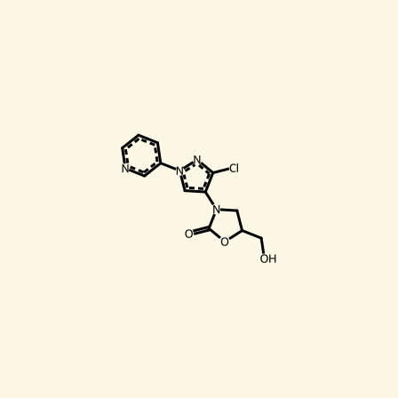 O=C1OC(CO)CN1c1cn(-c2cccnc2)nc1Cl